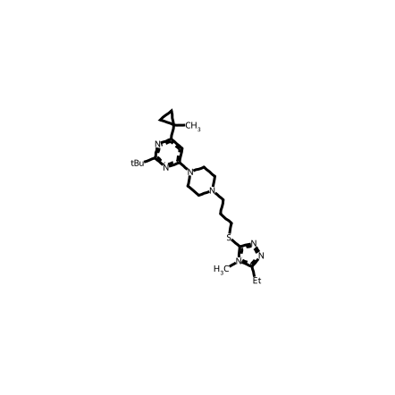 CCc1nnc(SCCCN2CCN(c3cc(C4(C)CC4)nc(C(C)(C)C)n3)CC2)n1C